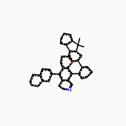 CC1(C)c2ccccc2-c2ccc(-c3ccccc3-c3c4ccccc4c(-c4ccc5ccccc5c4)c4ccncc34)cc21